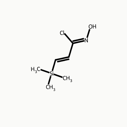 C[Si](C)(C)C=CC(Cl)=NO